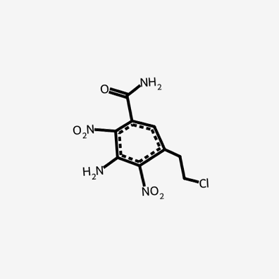 NC(=O)c1cc(CCCl)c([N+](=O)[O-])c(N)c1[N+](=O)[O-]